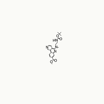 COC(=O)c1ccc2c(c1)nc(N(C)CCNC(=O)OC(C)(C)C)c1ccncc12